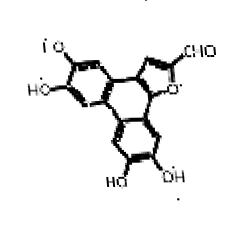 O=Cc1cc2c3cc(O)c(O)cc3c3cc(O)c(O)cc3c2o1